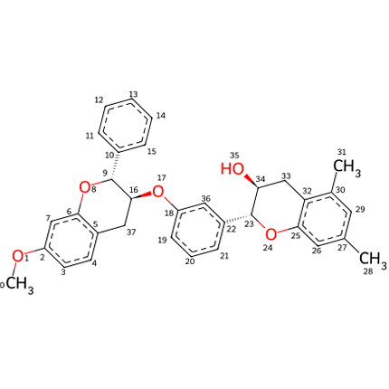 COc1ccc2c(c1)O[C@H](c1ccccc1)[C@@H](Oc1cccc([C@H]3Oc4cc(C)cc(C)c4C[C@@H]3O)c1)C2